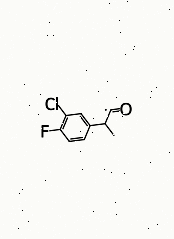 CC([C]=O)c1ccc(F)c(Cl)c1